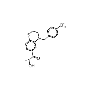 O=C(NO)c1ccc2c(c1)N(Cc1ccc(C(F)(F)F)cc1)CCS2